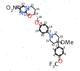 COC1(c2ccc(OC(F)(F)F)cc2)CCN(c2ccc(OC[C@H]3CCn4cc([N+](=O)[O-])nc4O3)cc2)CC1